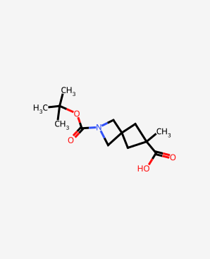 CC(C)(C)OC(=O)N1CC2(C1)CC(C)(C(=O)O)C2